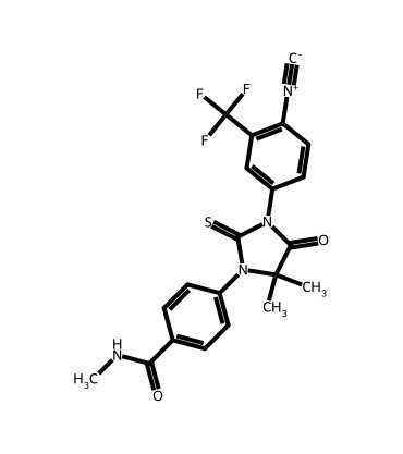 [C-]#[N+]c1ccc(N2C(=O)C(C)(C)N(c3ccc(C(=O)NC)cc3)C2=S)cc1C(F)(F)F